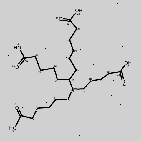 O=C(O)CCCCCC(CCCCC(=O)O)C(CCCCCC(=O)O)CCCCC(=O)O